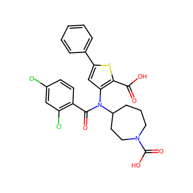 O=C(O)c1sc(-c2ccccc2)cc1N(C(=O)c1ccc(Cl)cc1Cl)C1CCCN(C(=O)O)CC1